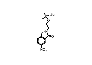 CC(C)(C)[Si](C)(C)OCCN1Cc2ccc([N+](=O)[O-])cc2C1=O